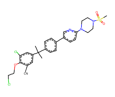 CC(C)(c1ccc(-c2ccc(N3CCN(S(C)(=O)=O)CC3)nc2)cc1)c1cc(Cl)c(OCCCl)c(C#N)c1